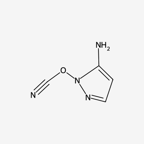 N#COn1nccc1N